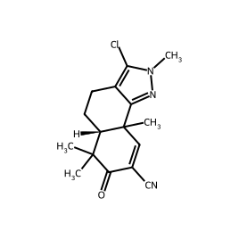 Cn1nc2c(c1Cl)CC[C@H]1C(C)(C)C(=O)C(C#N)=CC21C